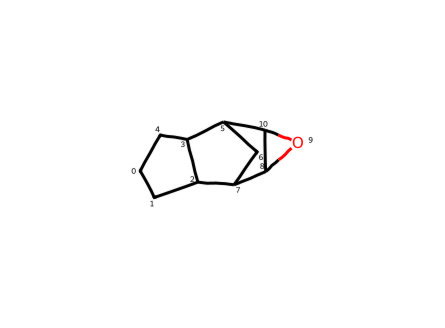 C1CC2C(C1)C1CC2C2OC12